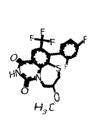 COC1CSc2c(-c3ccc(F)cc3F)c(C(F)(F)F)cc3c(=O)[nH]c(=O)n(c23)C1